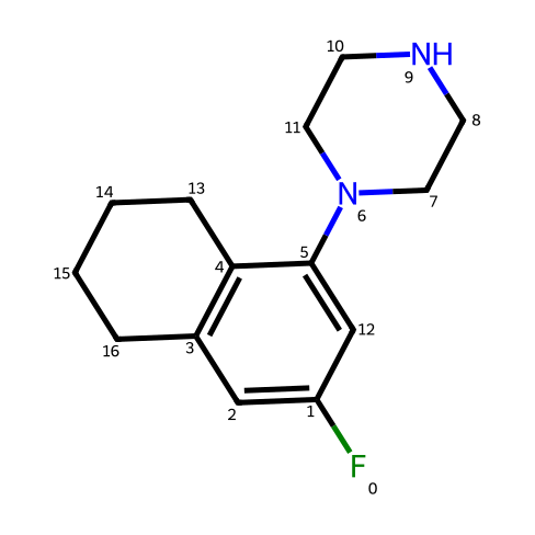 Fc1cc2c(c(N3CCNCC3)c1)CCCC2